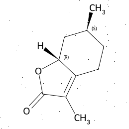 CC1=C2CC[C@H](C)C[C@H]2OC1=O